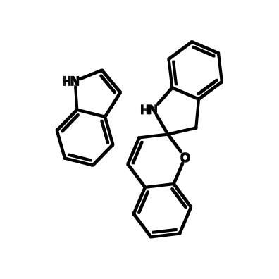 C1=CC2(Cc3ccccc3N2)Oc2ccccc21.c1ccc2[nH]ccc2c1